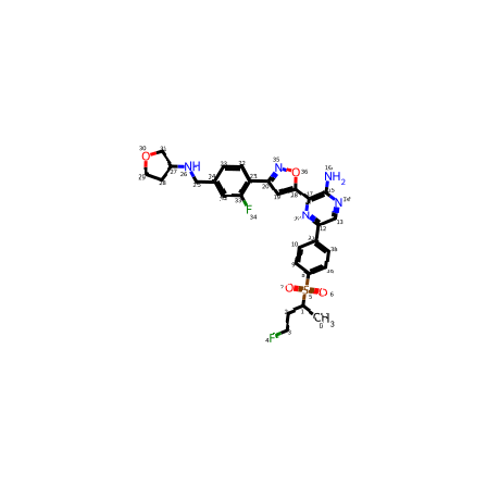 CC(CCF)S(=O)(=O)c1ccc(-c2cnc(N)c(-c3cc(-c4ccc(CNC5CCOC5)cc4F)no3)n2)cc1